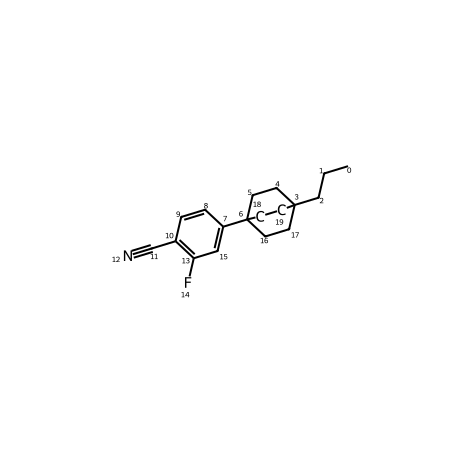 CCCC12CCC(c3ccc(C#N)c(F)c3)(CC1)CC2